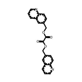 O=C(OCc1ccc2ncccc2c1)C(=O)OCc1ccc2ncccc2c1